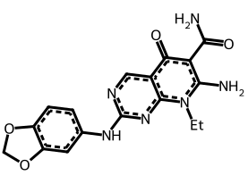 CCn1c(N)c(C(N)=O)c(=O)c2cnc(Nc3ccc4c(c3)OCO4)nc21